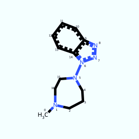 CN1CCCN(n2nnc3ccccc32)CC1